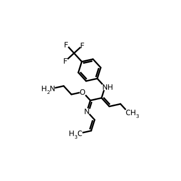 C\C=C/N=C(OCCN)\C(=C\CC)Nc1ccc(C(F)(F)F)cc1